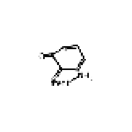 CCCC(C)N.O=C1C=CC=CC1=O